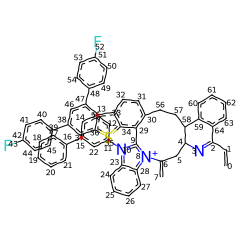 C=CC1=NC2CC(=C)[n+]3c(n(-c4cccc(-c5ccccc5)c4)c4ccccc43)-c3c(ccc4c3sc3cc(-c5ccc(F)cc5)cc(-c5ccc(F)cc5)c34)CCC2c2ccccc21